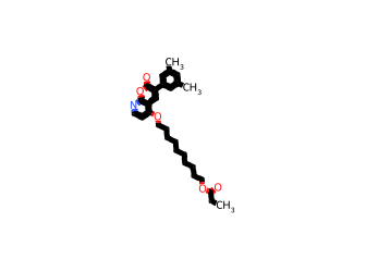 CCC(=O)OCCCCCCCCCCOc1ccnc2oc(=O)c(-c3cc(C)cc(C)c3)cc12